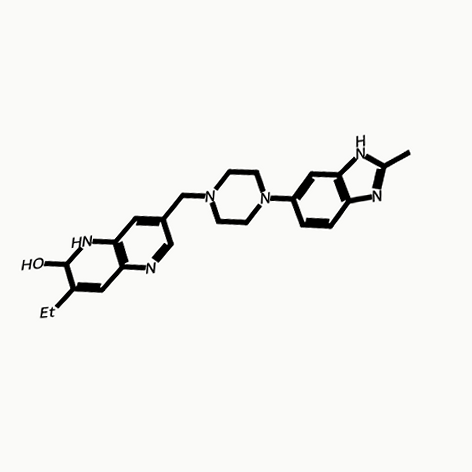 CCC1=Cc2ncc(CN3CCN(c4ccc5nc(C)[nH]c5c4)CC3)cc2NC1O